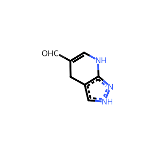 O=CC1=CNc2n[nH]cc2C1